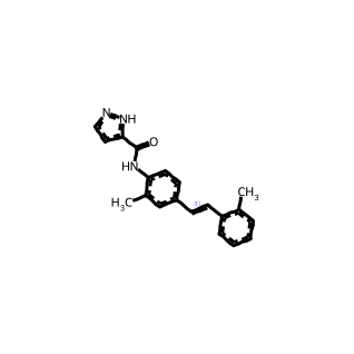 Cc1ccccc1/C=C/c1ccc(NC(=O)c2ccn[nH]2)c(C)c1